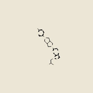 FC(F)Cn1ncc2ncc(N3C[C@H]4CN(c5ccc(C(F)(F)F)nc5)C[C@H]4C3)nc21